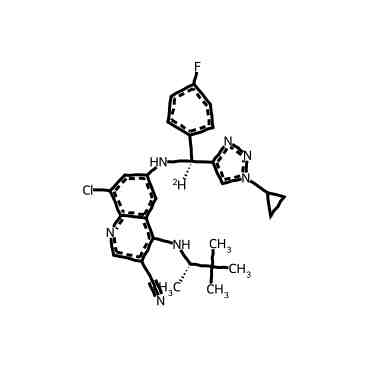 [2H][C@](Nc1cc(Cl)c2ncc(C#N)c(N[C@@H](C)C(C)(C)C)c2c1)(c1ccc(F)cc1)c1cn(C2CC2)nn1